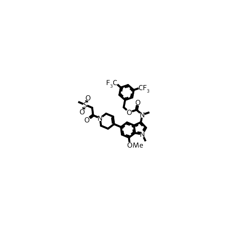 COc1cc(C2=CCN(C(=O)CS(C)(=O)=O)CC2)cc2c(N(C)C(=O)OCc3cc(C(F)(F)F)cc(C(F)(F)F)c3)cn(C)c12